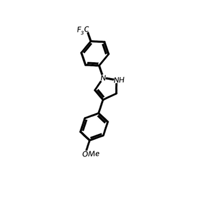 COc1ccc(C2=CN(c3ccc(C(F)(F)F)cc3)NC2)cc1